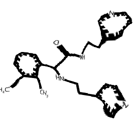 Cc1cccc(C(NCCc2ccncc2)C(=O)NCCc2cccnc2)c1C